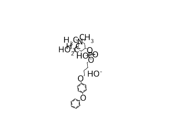 C[N+](C)(C)CC(CC(=O)O)OP(=O)(O)OCCCCOc1ccc(Oc2ccccc2)cc1.[OH-]